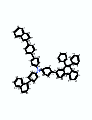 c1ccc(-c2c(-c3ccccc3)c3cc(-c4ccc(N(c5ccc(-c6ccc(-c7ccc8ccccc8c7)cc6)cc5)c5ccc(-c6cccc7ccccc67)cc5)cc4)ccc3c3ccccc23)cc1